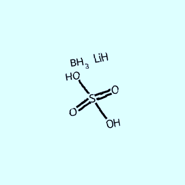 B.O=S(=O)(O)O.[LiH]